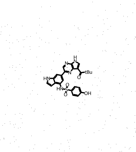 CC(C)(C)C(=O)c1c[nH]c2ncc(-c3cc(NS(=O)(=O)c4ccc(O)cc4)c4cc[nH]c4c3)nc12